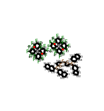 Fc1c(F)c(F)c([B-](c2c(F)c(F)c(F)c(F)c2F)(c2c(F)c(F)c(F)c(F)c2F)c2c(F)c(F)c(F)c(F)c2F)c(F)c1F.Fc1c(F)c(F)c([B-](c2c(F)c(F)c(F)c(F)c2F)(c2c(F)c(F)c(F)c(F)c2F)c2c(F)c(F)c(F)c(F)c2F)c(F)c1F.c1ccc2cc([S+](c3ccc4ccccc4c3)c3ccc(Sc4ccc([S+](c5ccc6ccccc6c5)c5ccc6ccccc6c5)s4)s3)ccc2c1